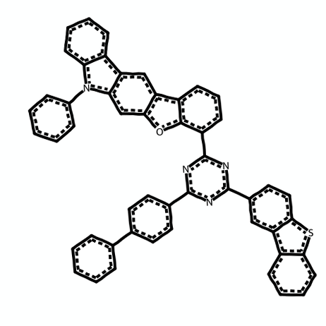 c1ccc(-c2ccc(-c3nc(-c4ccc5sc6ccccc6c5c4)nc(-c4cccc5c4oc4cc6c(cc45)c4ccccc4n6-c4ccccc4)n3)cc2)cc1